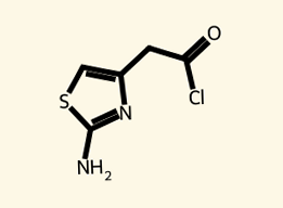 Nc1nc(CC(=O)Cl)cs1